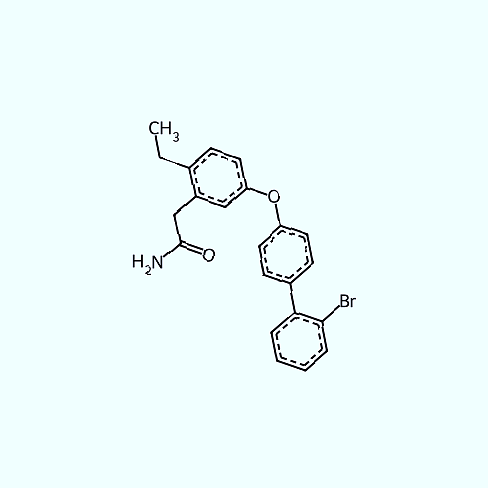 CCc1ccc(Oc2ccc(-c3ccccc3Br)cc2)cc1CC(N)=O